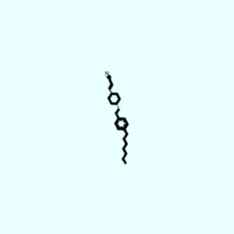 CCCCCCCc1ccc(CC[C@H]2CC[C@H](/C=C/C#N)CC2)cc1